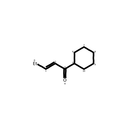 CCC=CC(=O)C1CCCCC1